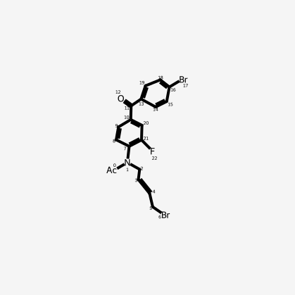 CC(=O)N(C/C=C/CBr)c1ccc(C(=O)c2ccc(Br)cc2)cc1F